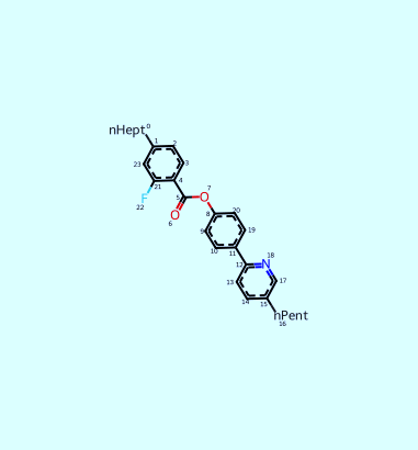 CCCCCCCc1ccc(C(=O)Oc2ccc(-c3ccc(CCCCC)cn3)cc2)c(F)c1